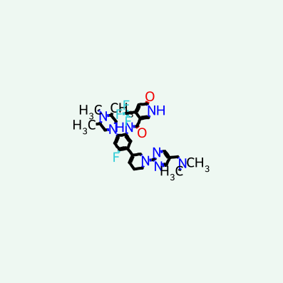 CC1CN(c2cc(F)c(C3=CCCN(c4ncc(CN(C)C)cn4)C3)cc2NC(=O)c2c[nH]c(=O)cc2C(F)(F)F)CC(C)N1C